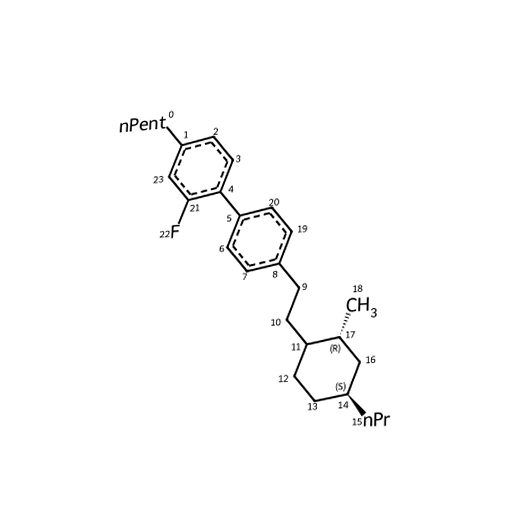 CCCCCc1ccc(-c2ccc(CCC3CC[C@H](CCC)C[C@H]3C)cc2)c(F)c1